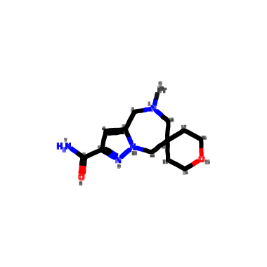 CC(C)N1Cc2cc(C(N)=O)nn2CC2(CCOCC2)C1